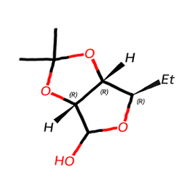 CC[C@H]1OC(O)[C@@H]2OC(C)(C)O[C@H]12